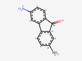 Nc1ccc2c(c1)-c1ccc([N+](=O)[O-])cc1C2=O